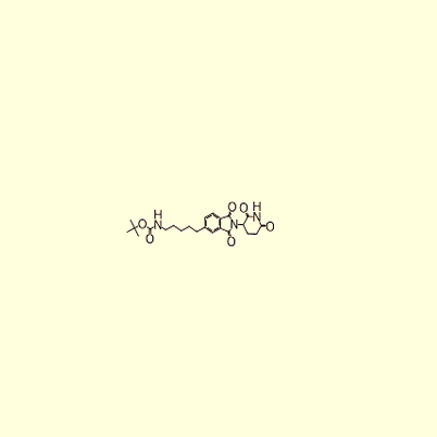 CC(C)(C)OC(=O)NCCCCCc1ccc2c(c1)C(=O)N(C1CCC(=O)NC1=O)C2=O